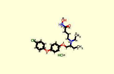 CCC(COc1ccc(Oc2ccc(Cl)cc2)cc1)N(CC)CCCC(=O)NO.Cl